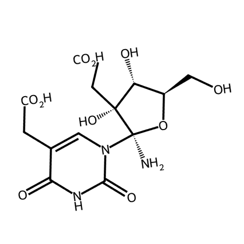 N[C@@]1(n2cc(CC(=O)O)c(=O)[nH]c2=O)O[C@H](CO)[C@@H](O)[C@]1(O)CC(=O)O